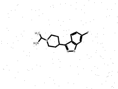 CC(N)N1CCC(c2nsc3cc(F)ccc23)CC1